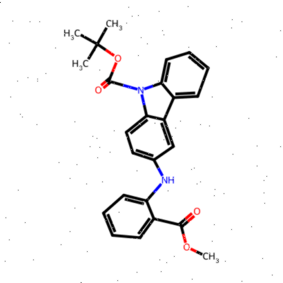 COC(=O)c1ccccc1Nc1ccc2c(c1)c1ccccc1n2C(=O)OC(C)(C)C